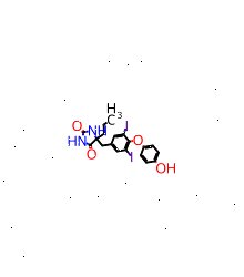 CCCC1(Cc2cc(I)c(Oc3ccc(O)cc3)c(I)c2)NC(=O)NC1=O